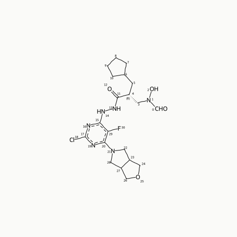 O=CN(O)C[C@@H](CC1CCCC1)C(=O)NNc1nc(Cl)nc(N2CC3COCC3C2)c1F